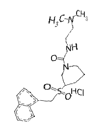 CN(C)CCNC(=O)N1CCCC(S(=O)(=O)Cc2cccc3ccccc23)C1.Cl